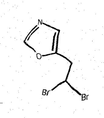 BrC(Br)Cc1cnco1